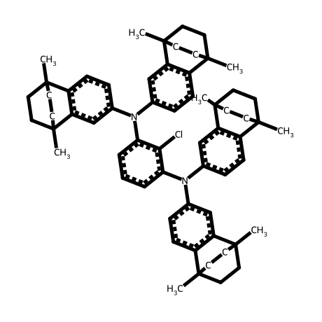 CC12CCC(C)(CC1)c1cc(N(c3ccc4c(c3)C3(C)CCC4(C)CC3)c3cccc(N(c4ccc5c(c4)C4(C)CCC5(C)CC4)c4ccc5c(c4)C4(C)CCC5(C)CC4)c3Cl)ccc12